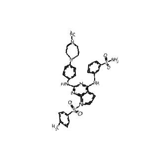 CC(=O)N1CCN(c2ccc(Nc3nc(Nc4cccc(S(N)(=O)=O)c4)c4ccn(S(=O)(=O)c5ccc(C)cc5)c4n3)cc2)CC1